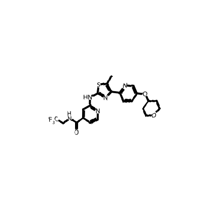 Cc1sc(Nc2cc(C(=O)NCC(F)(F)F)ccn2)nc1-c1ccc(OC2CCOCC2)cn1